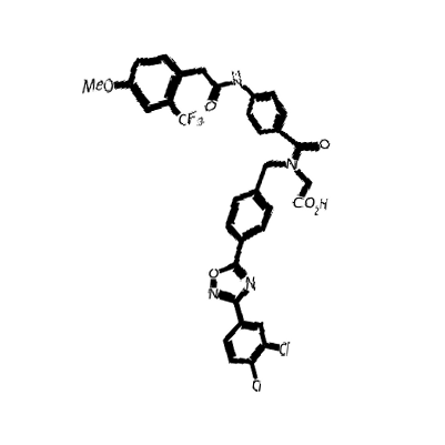 COc1ccc(CC(=O)Nc2ccc(C(=O)N(CC(=O)O)Cc3ccc(-c4nc(-c5ccc(Cl)c(Cl)c5)no4)cc3)cc2)c(C(F)(F)F)c1